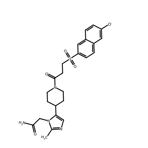 Cc1ncc(C2CCN(C(=O)CCS(=O)(=O)c3ccc4cc(Cl)ccc4c3)CC2)n1CC(N)=O